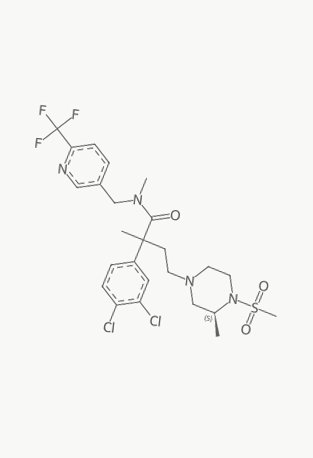 C[C@H]1CN(CCC(C)(C(=O)N(C)Cc2ccc(C(F)(F)F)nc2)c2ccc(Cl)c(Cl)c2)CCN1S(C)(=O)=O